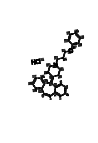 C1=Cc2ccccc2C(=C2CCN(CCCOc3ccccc3)CC2)c2ccccc21.Cl